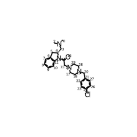 CN(C)C[C@@H]1Cc2ccccc2N1C(=O)CN1CCN(Cc2ccc(Cl)cc2)CC1